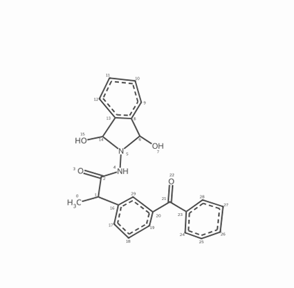 CC(C(=O)NN1C(O)c2ccccc2C1O)c1cccc(C(=O)c2ccccc2)c1